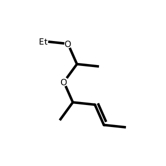 CC=CC(C)OC(C)OCC